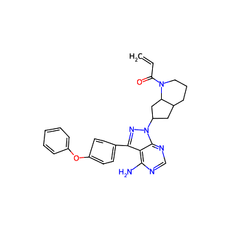 C=CC(=O)N1CCCC2CC(n3nc(-c4ccc(Oc5ccccc5)cc4)c4c(N)ncnc43)CC21